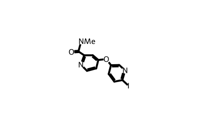 CNC(=O)c1cc(Oc2ccc(I)nc2)ccn1